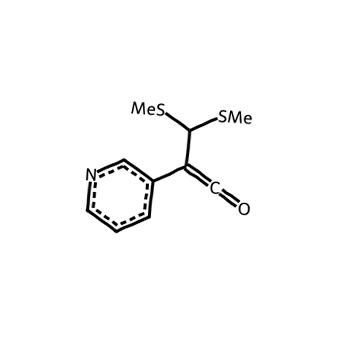 CSC(SC)C(=C=O)c1cccnc1